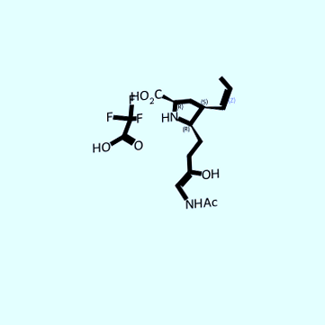 C/C=C\[C@@H]1C[C@H](C(=O)O)N[C@@H]1CCC(O)=CNC(C)=O.O=C(O)C(F)(F)F